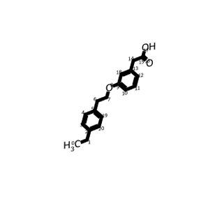 CCc1ccc(CCOc2cccc(CC(=O)O)c2)cc1